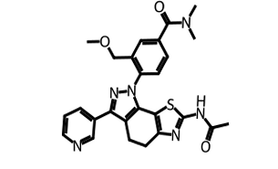 COCc1cc(C(=O)N(C)C)ccc1-n1nc(-c2cccnc2)c2c1-c1sc(NC(C)=O)nc1CC2